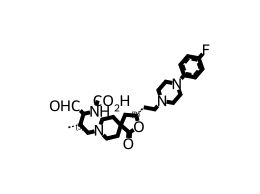 C[C@@H](CN1CCC2(CC1)C[C@H](CCN1CCN(c3ccc(F)cc3)CC1)OC2=O)C(C=O)NC(=O)O